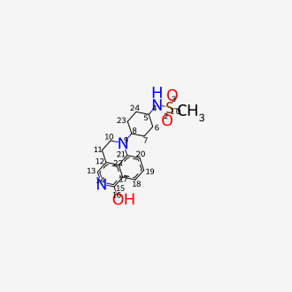 CS(=O)(=O)NC1CCC(N2CCc3cnc(O)c4cccc2c34)CC1